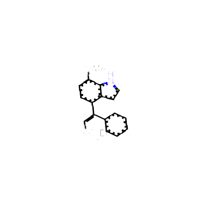 CCOC(=O)/C=C(\c1ccccc1)c1ccc(OC)c2[nH]ccc12